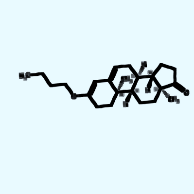 CCCCOC1=CC2=CC[C@@H]3[C@H](CC[C@]4(C)C(=O)CC[C@@H]34)[C@@]2(C)CC1